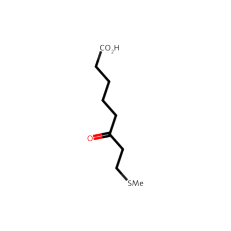 CSCCC(=O)CCCCC(=O)O